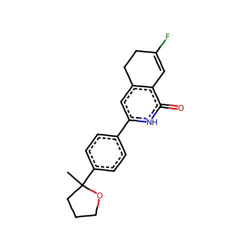 CC1(c2ccc(-c3cc4c(c(=O)[nH]3)C=C(F)CC4)cc2)CCCO1